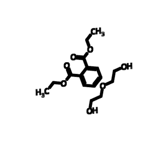 CCOC(=O)c1ccccc1C(=O)OCC.OCCOCCO